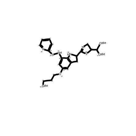 COC(OC)C1CN=C(C2Cc3cc(OCCCSC)cc(NSc4ccccn4)c3N2)S1